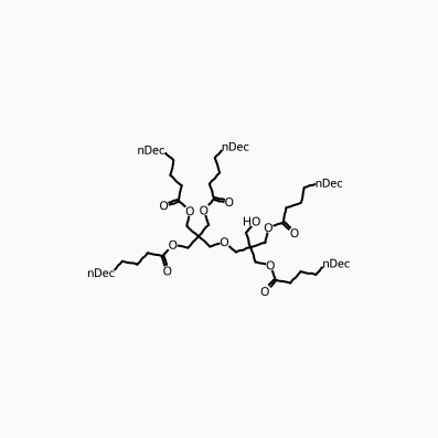 CCCCCCCCCCCCCC(=O)OCC(CO)(COCC(COC(=O)CCCCCCCCCCCCC)(COC(=O)CCCCCCCCCCCCC)COC(=O)CCCCCCCCCCCCC)COC(=O)CCCCCCCCCCCCC